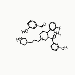 Cc1c(F)cccc1C1[C@@H](C(=O)c2cccc(O)c2)CN(CCCC2CCNC2)C[C@@H]1C(=O)c1cccc(O)c1